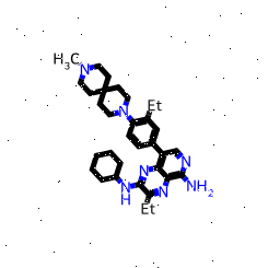 CCc1cc(-c2cnc(N)c3nc(CC)c(NC4CCCCC4)nc23)ccc1N1CCC2(CCN(C)CC2)CC1